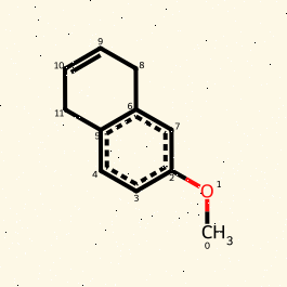 COc1ccc2c(c1)CC=CC2